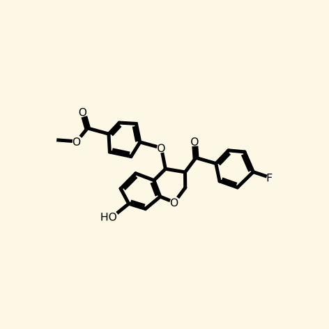 COC(=O)c1ccc(OC2c3ccc(O)cc3OCC2C(=O)c2ccc(F)cc2)cc1